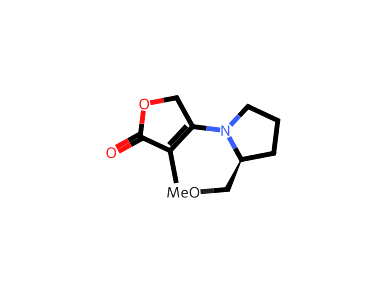 COC[C@@H]1CCCN1C1=C(C)C(=O)OC1